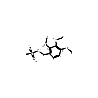 COc1ccc(COS(C)(=O)=O)c(OC)c1OC